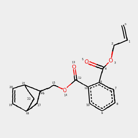 C=CCOC(=O)c1ccccc1C(=O)OCC1CC2C=CC1C2